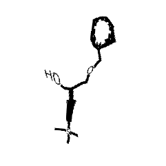 C[Si](C)(C)C#CC(O)COCc1ccccc1